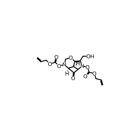 C=CCOC(=O)ON1C(CO)=C2OCN(OC(=O)OCC=C)[C@@H]3C(=O)C1[C@H]23